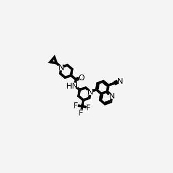 N#Cc1ccc(N2CC(NC(=O)C3CCN(C4CC4)CC3)CC(C(F)(F)F)C2)c2cccnc12